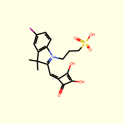 CC1(C)C(/C=C2/C(=O)C(O)=C2O)=[N+](CCCS(=O)(=O)O)c2ccc(I)cc21